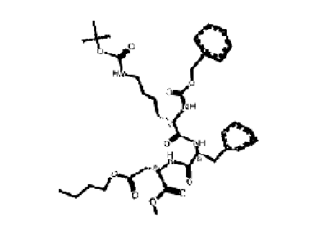 CCCCOC(=O)C[C@H](NC(=O)[C@H](Cc1ccccc1)NC(=O)[C@H](CCCCNC(=O)OC(C)(C)C)NC(=O)OCc1ccccc1)C(=O)OC